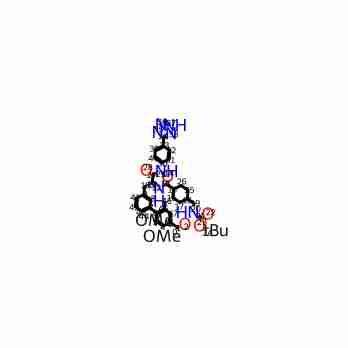 COC(=O)c1ccc(-c2cc(C[C@H](NC(=O)C3CCC(CNC(=O)OC(C)(C)C)CC3)C(=O)Nc3ccc(-c4nn[nH]n4)cc3)ccc2OC)c(C)c1